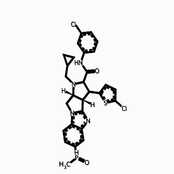 C[PH](=O)c1ccc2c(c1)nc1n2C[C@H]2[C@@H]1C(c1ccc(Cl)s1)C(C(=O)Nc1cccc(Cl)c1)N2CC1CC1